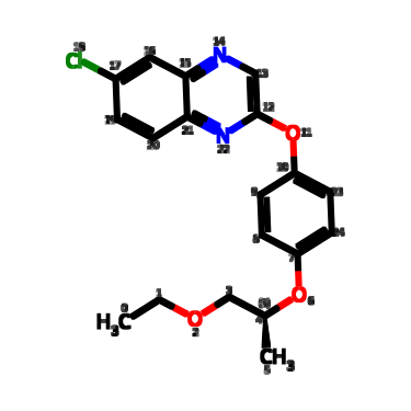 CCOC[C@H](C)Oc1ccc(Oc2cnc3cc(Cl)ccc3n2)cc1